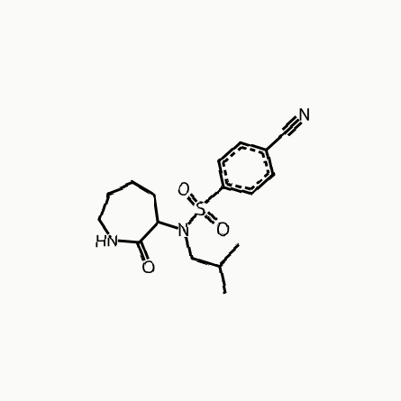 CC(C)CN(C1CCCCNC1=O)S(=O)(=O)c1ccc(C#N)cc1